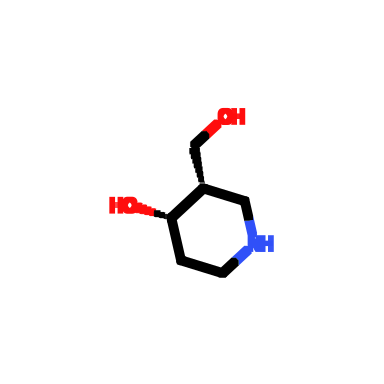 OC[C@@H]1CNCC[C@@H]1O